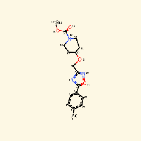 CC(=O)c1ccc(-c2nc(COC3CCN(C(=O)OC(C)(C)C)CC3)no2)cc1